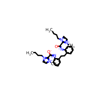 CCCCn1cc[n+](C)c1/C([O-])=N\c1ccccc1CCc1ccccc1/N=C(/[O-])c1n(CCCC)cc[n+]1C